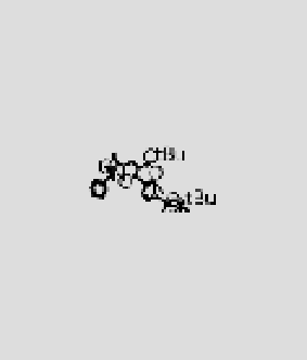 Cc1oc(-c2ccccc2)nc1CC(C(=O)OC(C)(C)C)C(=O)c1ccc(C(C)O[Si](C)(C)C(C)(C)C)nc1